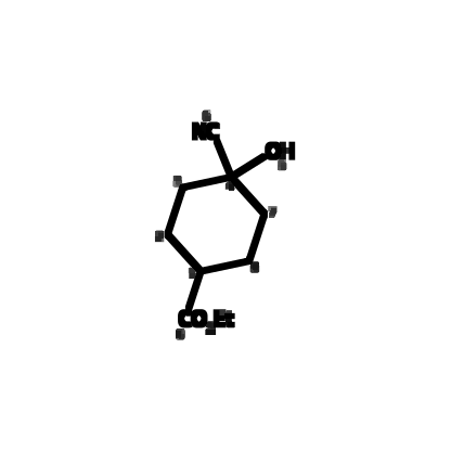 CCOC(=O)C1CCC(O)(C#N)CC1